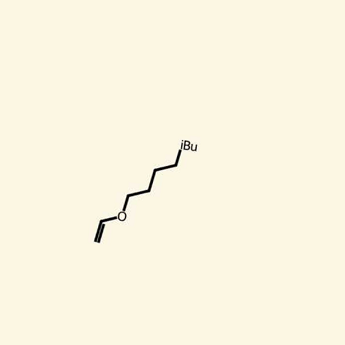 C=COCCCCC(C)CC